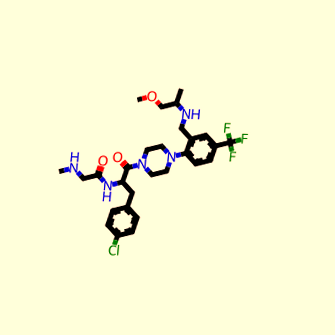 CNCC(=O)NC(Cc1ccc(Cl)cc1)C(=O)N1CCN(c2ccc(C(F)(F)F)cc2CNC(C)COC)CC1